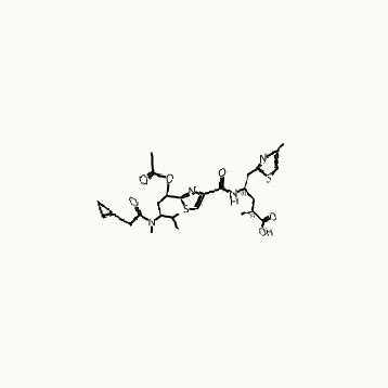 CC(=O)OC(CC(C(C)C)N(C)C(=O)CC1CC1)c1nc(C(=O)N[C@@H](Cc2nc(C)cs2)C[C@H](C)C(=O)O)cs1